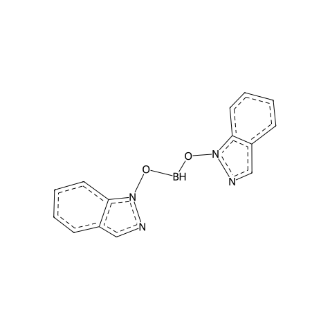 B(On1ncc2ccccc21)On1ncc2ccccc21